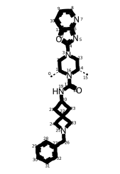 C[C@@H]1CN(c2nc3ncccc3o2)C[C@H](C)N1C(=O)NC1CC2(C1)CN(Cc1ccccc1)C2